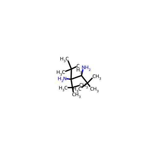 CC(C)(C)C(N)C(N)(C(C)(C)C)C(C)(C)C